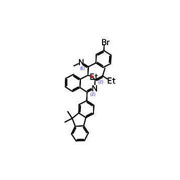 CC/C(C)=C(C)\N=C(\c1ccc2c(c1)C(C)(C)c1ccccc1-2)c1ccccc1C(CC)/C(=N\C)c1cccc(Br)c1